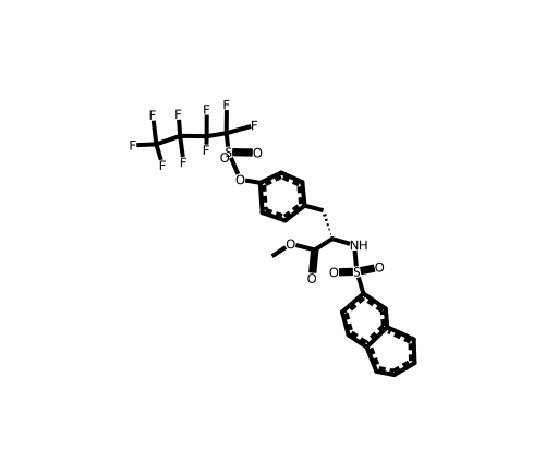 COC(=O)[C@H](Cc1ccc(OS(=O)(=O)C(F)(F)C(F)(F)C(F)(F)C(F)(F)F)cc1)NS(=O)(=O)c1ccc2ccccc2c1